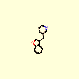 c1cncc(Cc2coc3ccccc23)c1